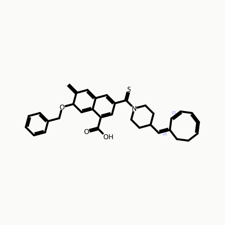 C=C1C=c2cc(C(=S)N3CCC(/C=C4\C=C/C=C=CCC4)CC3)cc(C(=O)O)c2=CC1OCc1ccccc1